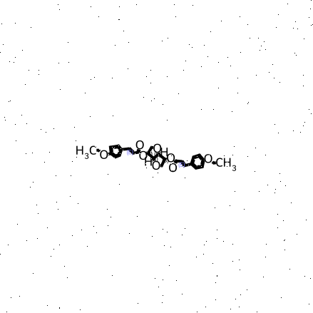 CCOc1ccc(/C=C/C(=O)O[C@H]2CO[C@H]3[C@@H]2OC[C@H]3OC(=O)/C=C/c2ccc(OCC)cc2)cc1